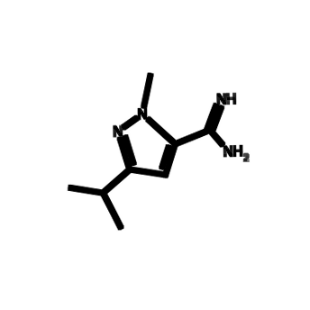 CC(C)c1cc(C(=N)N)n(C)n1